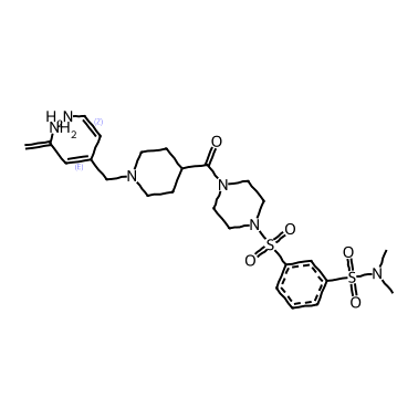 C=C(N)/C=C(\C=C/N)CN1CCC(C(=O)N2CCN(S(=O)(=O)c3cccc(S(=O)(=O)N(C)C)c3)CC2)CC1